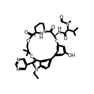 CCn1c(-c2cncnc2)c2c3cc(ccc31)-c1cc(O)cc(c1)C[C@H](NC(=O)C(C(C)C)N(C)C=O)C(=O)N1CCC[C@H](N1)C(=O)OCC(C)(C)C2